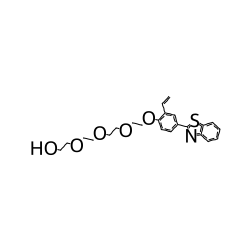 C=Cc1cc(-c2nc3ccccc3s2)ccc1OCCOCCOCCOCCO